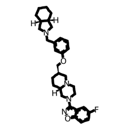 Fc1ccc2onc(N3CCN4C[C@H](COc5cccc(CN6C[C@H]7CCCC[C@H]7C6)c5)CC[C@H]4C3)c2c1